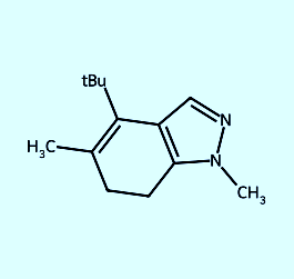 CC1=C(C(C)(C)C)c2cnn(C)c2CC1